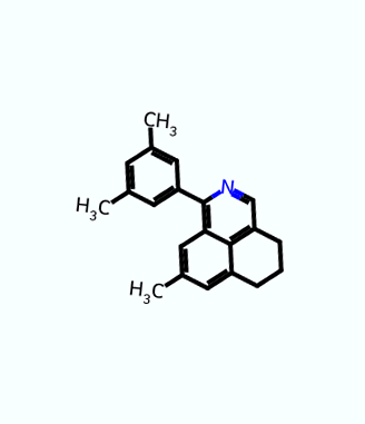 Cc1cc(C)cc(-c2ncc3c4c(cc(C)cc24)CCC3)c1